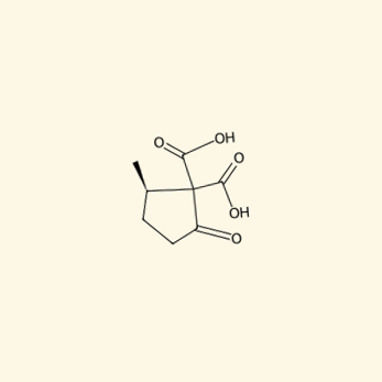 C[C@@H]1CCC(=O)C1(C(=O)O)C(=O)O